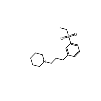 CCS(=O)(=O)c1cccc(CCCN2CCCCC2)c1